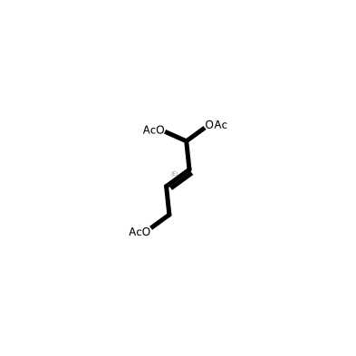 CC(=O)OC/C=C/C(OC(C)=O)OC(C)=O